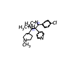 C/N=C(\C(=C(/NC)C1=CCN(C)CC1)c1ccncc1)c1ccc(Cl)cc1